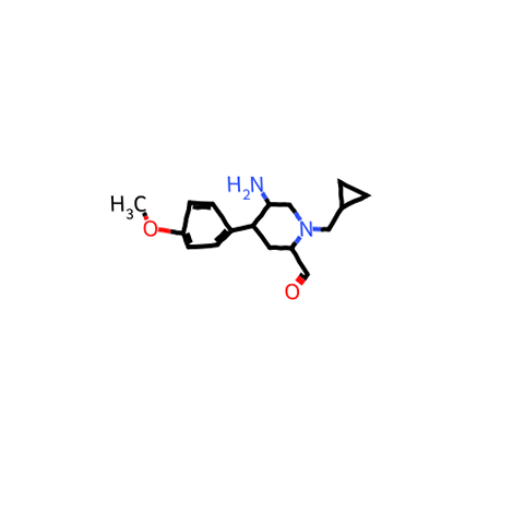 COc1ccc(C2CC(C=O)N(CC3CC3)CC2N)cc1